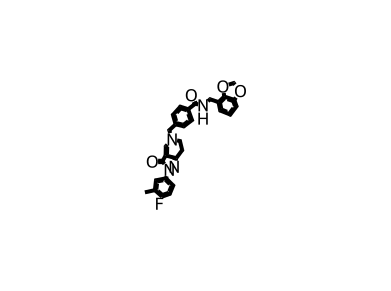 Cc1cc(N2N=C3CCN(Cc4ccc(C(=O)NCc5cccc6c5OCO6)cc4)C=C3C2=O)ccc1F